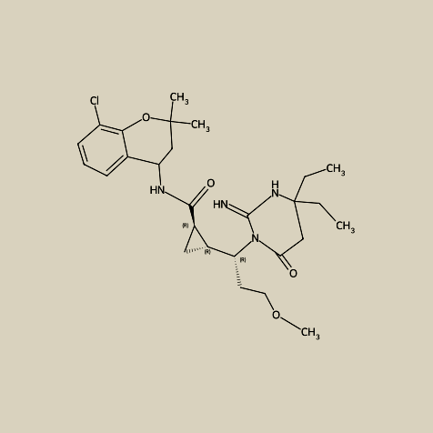 CCC1(CC)CC(=O)N([C@H](CCOC)[C@@H]2C[C@H]2C(=O)NC2CC(C)(C)Oc3c(Cl)cccc32)C(=N)N1